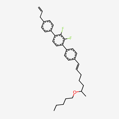 C=CCc1ccc(-c2ccc(-c3ccc(C=CCCCC(C)OCCCCC)cc3)c(F)c2F)cc1